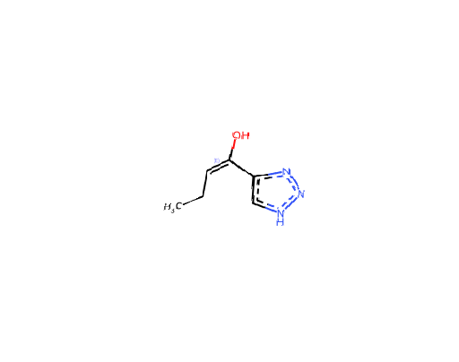 CC/C=C(/O)c1c[nH]nn1